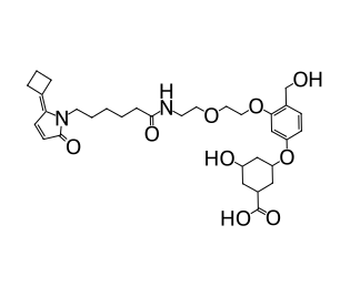 O=C(CCCCCN1C(=O)C=CC1=C1CCC1)NCCOCCOc1cc(OC2CC(O)CC(C(=O)O)C2)ccc1CO